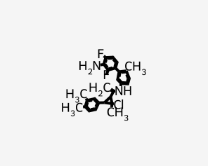 C=C(Nc1ccc(C)c(-c2ccc(F)c(N)c2F)c1)C1C(c2ccc(C)c(C)c2)C1(C)Cl